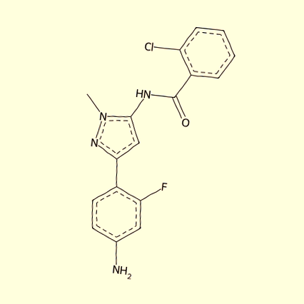 Cn1nc(-c2ccc(N)cc2F)cc1NC(=O)c1ccccc1Cl